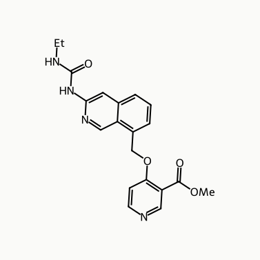 CCNC(=O)Nc1cc2cccc(COc3ccncc3C(=O)OC)c2cn1